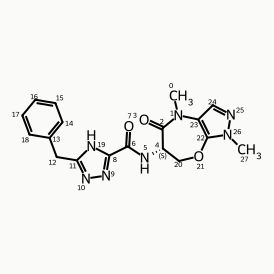 CN1C(=O)[C@@H](NC(=O)c2nnc(Cc3ccccc3)[nH]2)COc2c1cnn2C